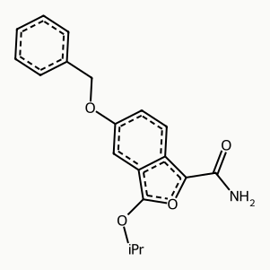 CC(C)Oc1oc(C(N)=O)c2ccc(OCc3ccccc3)cc12